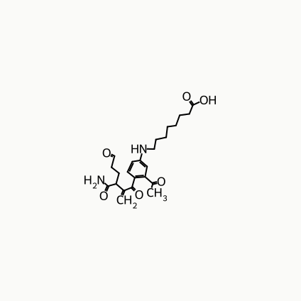 C=C(C(=O)c1ccc(NCCCCCCCC(=O)O)cc1C(C)=O)C(CCC=O)C(N)=O